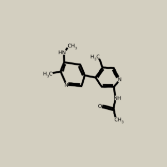 CNc1cc(-c2cc(NC(C)=O)ncc2C)cnc1C